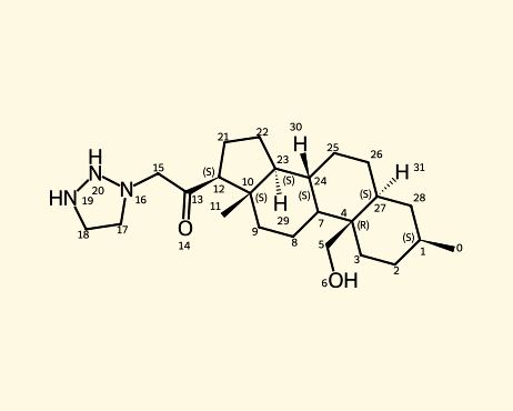 C[C@H]1CC[C@]2(CO)C3CC[C@]4(C)[C@@H](C(=O)CN5CCNN5)CC[C@H]4[C@@H]3CC[C@H]2C1